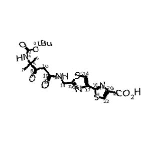 CC(C)(C)OC(=O)NC(C)(C)C(=O)CC(=O)NCc1nc(-c2nc(C(=O)O)cs2)cs1